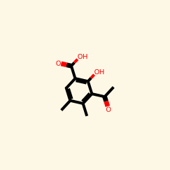 CC(=O)c1c(C)c(C)cc(C(=O)O)c1O